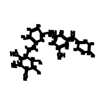 CCn1c(O)c(N=Nc2cc(Nc3nc(O)nc(Nc4ccc(C)cc4)n3)ccc2C)c(C)c(C)c1=O